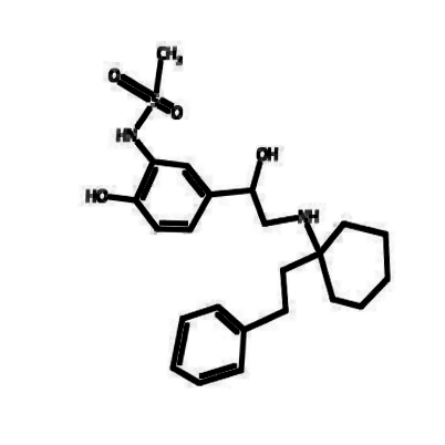 CS(=O)(=O)Nc1cc(C(O)CNC2(CCc3ccccc3)CCCCC2)ccc1O